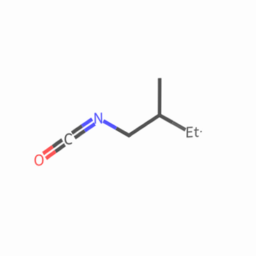 C[CH]C(C)CN=C=O